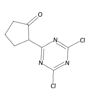 O=C1CCCC1c1nc(Cl)nc(Cl)n1